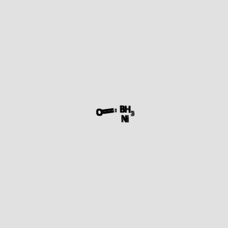 B.[C]=O.[Ni]